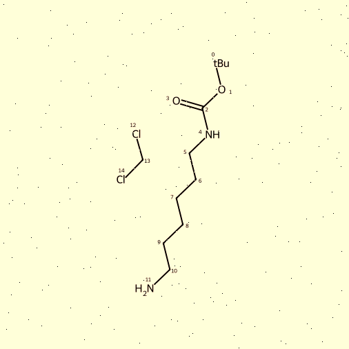 CC(C)(C)OC(=O)NCCCCCCN.ClCCl